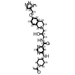 CC(=O)N1CCC(Nc2cc(C(=O)NCC(O)CN3CCc4cc(OCc5cnnn5C)ccc4C3)ncn2)CC1